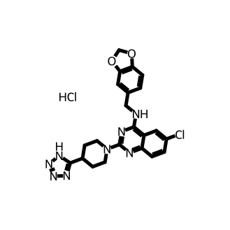 Cl.Clc1ccc2nc(N3CCC(c4nnn[nH]4)CC3)nc(NCc3ccc4c(c3)OCO4)c2c1